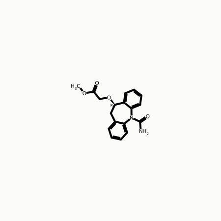 COC(=O)CO[C@@H]1Cc2ccccc2N(C(N)=O)c2ccccc21